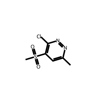 Cc1cc(S(C)(=O)=O)c(Cl)nn1